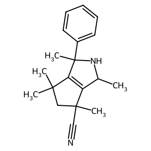 CC1NC(C)(c2ccccc2)C2=C1C(C)(C#N)CC2(C)C